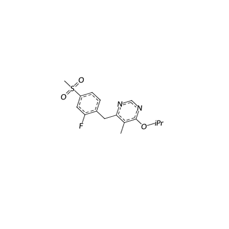 Cc1c(Cc2ccc(S(C)(=O)=O)cc2F)ncnc1OC(C)C